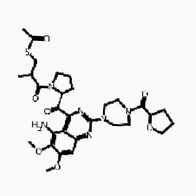 COc1cc2nc(N3CCN(C(=O)C4CCCO4)CC3)nc(C(=O)[C@@H]3CCCN3C(=O)C(C)CSC(C)=O)c2c(N)c1OC